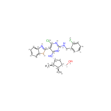 C[C@@H]1[C@@H](CO)C[C@@H](Nc2nc(NCc3ccccc3F)nc(Cl)c2-c2nc3ccccc3s2)[C@@H]1C